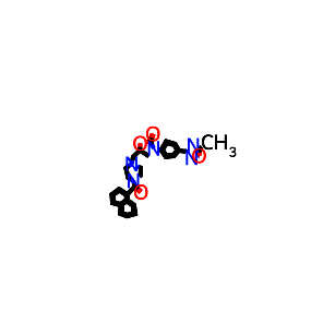 Cc1nc(-c2ccc(N3CC(CN4CCN(C(=O)c5cccc6ccccc56)CC4)OC3=O)cc2)no1